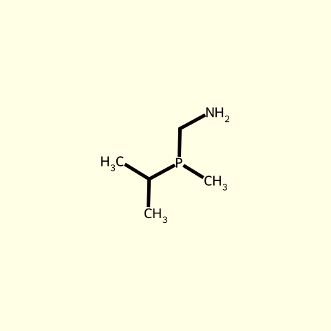 CC(C)P(C)CN